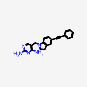 Nc1ncc(CN2CCc3cc(C#Cc4ccccc4)ccc32)c(N)n1